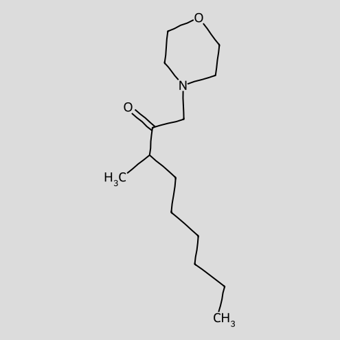 CCCCCCC(C)C(=O)CN1CCOCC1